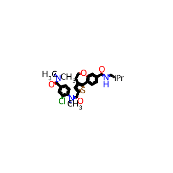 CC(C)CNC(=O)c1ccc2c(c1)OCCc1cc(C(=O)N(C)c3ccc(C(=O)N(C)C)cc3Cl)sc1-2